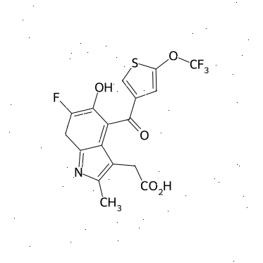 CC1=C(CC(=O)O)C2=C(C(=O)c3csc(OC(F)(F)F)c3)C(O)=C(F)CC2=N1